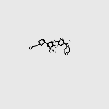 Cn1cc(-c2cccc(CC=O)c2)cc(Nc2ccc(C(=O)N3CCOCC3)cn2)c1=O